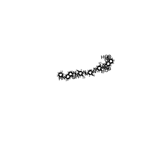 Cc1cc(N=Nc2cc(C)c(N=Nc3ccc4cc(Nc5ccccc5)ccc4c3O)cc2C)ccc1N=Nc1cc(C)c(N=Nc2cc3c(S(=O)(=O)O)cccc3cc2S(=O)(=O)O)c(C)c1